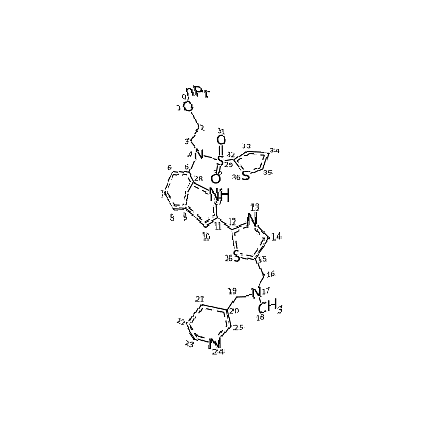 CCCOCCN(c1cccc2cc(-c3ncc(CN(C)Cc4cccnc4)s3)[nH]c12)S(=O)(=O)c1cccs1